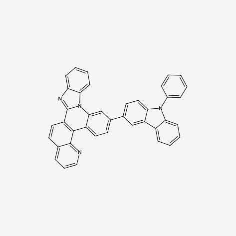 c1ccc(-n2c3ccccc3c3cc(-c4ccc5c6c(ccc7cccnc76)c6nc7ccccc7n6c5c4)ccc32)cc1